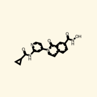 O=C(NO)c1ccc2ccn(-c3ccnc(NC(=O)C4CC4)c3)c(=O)c2c1